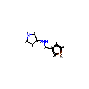 c1cc(CNC2CC[N]C2)cs1